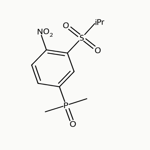 CC(C)S(=O)(=O)c1cc(P(C)(C)=O)ccc1[N+](=O)[O-]